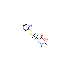 CCN(C)CC(C(=O)O)C(C)(C)C(C)(C)SSC1C=CC=CN1